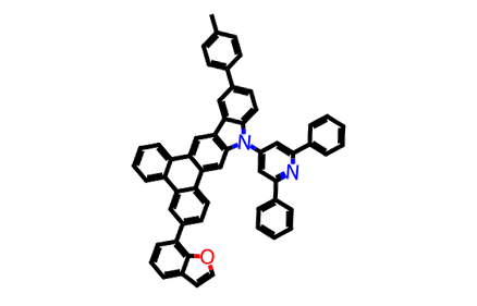 Cc1ccc(-c2ccc3c(c2)c2cc4c5ccccc5c5cc(-c6cccc7ccoc67)ccc5c4cc2n3-c2cc(-c3ccccc3)nc(-c3ccccc3)c2)cc1